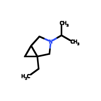 CCC12CC1CN(C(C)C)C2